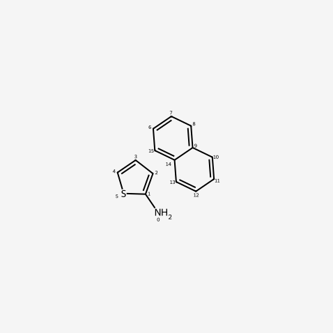 Nc1cccs1.c1ccc2ccccc2c1